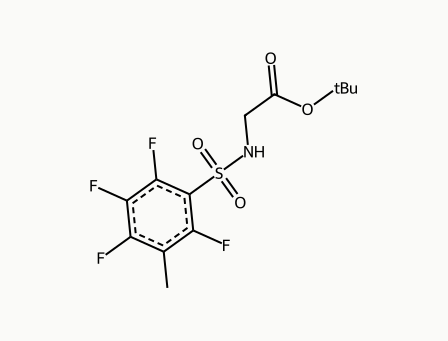 Cc1c(F)c(F)c(F)c(S(=O)(=O)NCC(=O)OC(C)(C)C)c1F